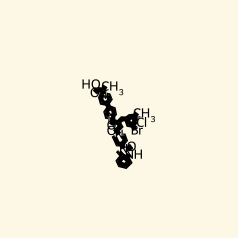 Cc1cc(CC(CC(=O)N2CCC(N3Cc4ccccc4NC3=O)CC2)C(=O)N2CCC(C3CCN(C(C)C(=O)O)CC3)CC2)cc(Br)c1Cl